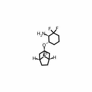 CC(C)N1[C@@H]2CC[C@H]1C[C@H](O[C@H]1CCCC(F)(F)[C@@H]1N)C2